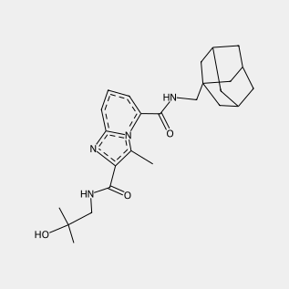 Cc1c(C(=O)NCC(C)(C)O)nc2cccc(C(=O)NCC34CC5CC(CC(C5)C3)C4)n12